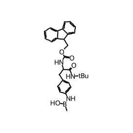 CB(O)Nc1ccc(CC(NC(=O)OCC2c3ccccc3-c3ccccc32)C(=O)NC(C)(C)C)cc1